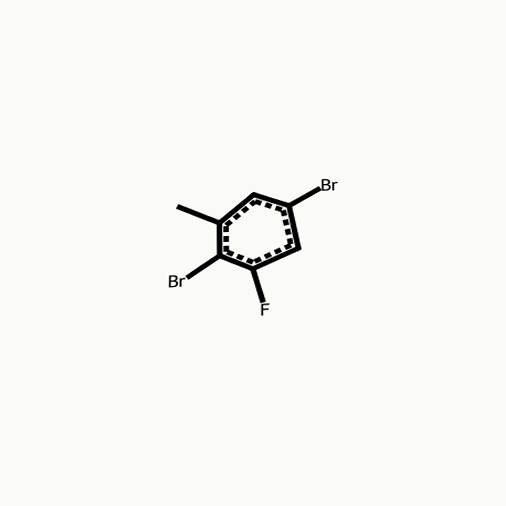 Cc1cc(Br)cc(F)c1Br